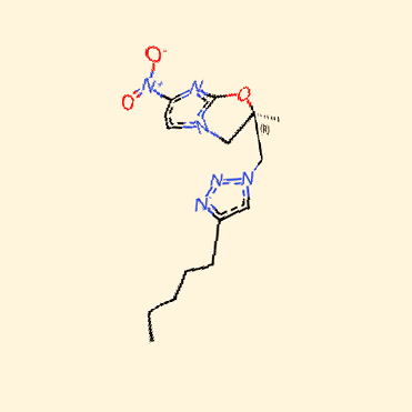 CCCCCc1cn(C[C@@]2(C)Cn3cc([N+](=O)[O-])nc3O2)nn1